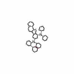 c1ccc(-c2ccccc2N(c2ccccc2)c2cc(N(c3ccccc3)c3ccccc3)c3sc4c5ccccc5ccc4c3c2)cc1